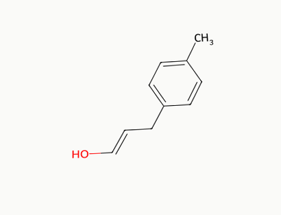 Cc1ccc(CC=CO)cc1